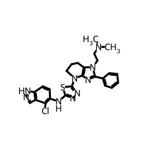 CN(C)CCn1c(-c2ccccc2)nc2c1CCCN2c1nnc(Nc2ccc3[nH]ncc3c2Cl)s1